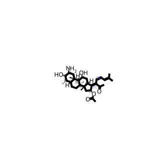 CC(=O)O[C@H]1C[C@@]2(C)[C@@H](C[C@@H](O)[C@H]3[C@@]4(C)C[C@H](N)[C@@H](O)[C@@H](C)[C@@H]4CC[C@@]32C)/C1=C(\C=C/C=C(C)C)C(C)=O